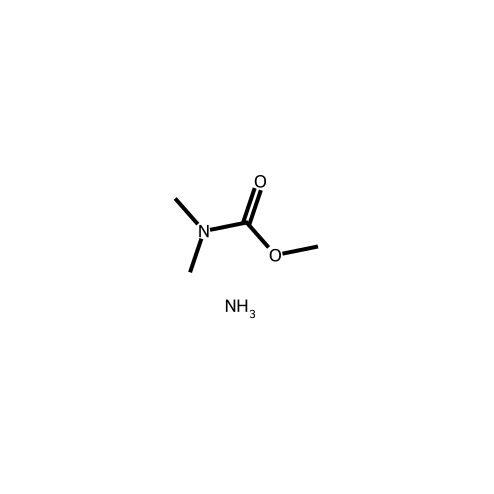 COC(=O)N(C)C.N